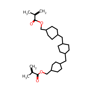 C=C(C)C(=O)OCC1CCC(CC2CCC(CC3CCC(COC(=O)C(=C)C)CC3)CC2)CC1